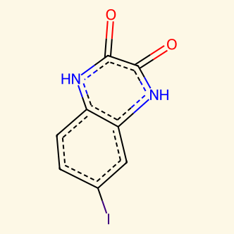 O=c1[nH]c2ccc(I)cc2[nH]c1=O